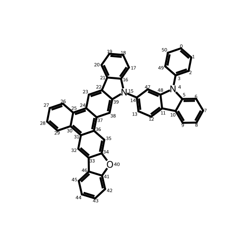 c1ccc(-n2c3ccccc3c3ccc(-n4c5ccccc5c5cc6c7ccccc7c7cc8c(cc7c6cc54)oc4ccccc48)cc32)cc1